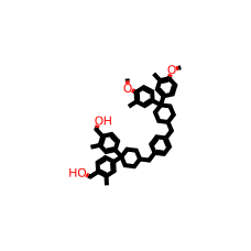 COc1ccc(C2(c3ccc(OC)c(C)c3)CCC(Cc3ccc(CC4CCC(c5ccc(CO)c(C)c5)(c5ccc(CO)c(C)c5)CC4)cc3)CC2)cc1C